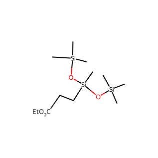 CCOC(=O)CC[Si](C)(O[Si](C)(C)C)O[Si](C)(C)C